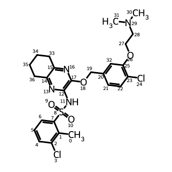 Cc1c(Cl)cccc1S(=O)(=O)Nc1nc2c(nc1OCc1ccc(Cl)c(OCCN(C)C)c1)CCCC2